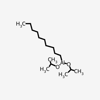 CCCCCCCCC[CH2][Al]([O]C(C)C)[O]C(C)C